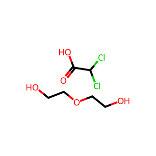 O=C(O)C(Cl)Cl.OCCOCCO